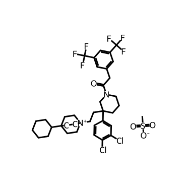 CS(=O)(=O)[O-].O=C(Cc1cc(C(F)(F)F)cc(C(F)(F)F)c1)N1CCCC(CC[N+]23CCC(C4CCCCC4)(CC2)CC3)(c2ccc(Cl)c(Cl)c2)C1